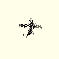 C=CC(=O)Nc1nn(C2CCOCC2)c2nc(-c3ccc(N4CCN(I)CC4)nc3)cc(C(=O)NCc3c(CCC)cc(C)[nH]c3=O)c12